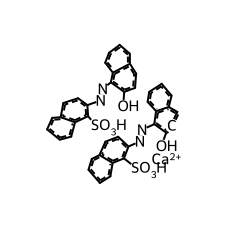 O=S(=O)(O)c1c(N=Nc2c(O)ccc3ccccc23)ccc2ccccc12.O=S(=O)(O)c1c(N=Nc2c(O)ccc3ccccc23)ccc2ccccc12.[Ca+2]